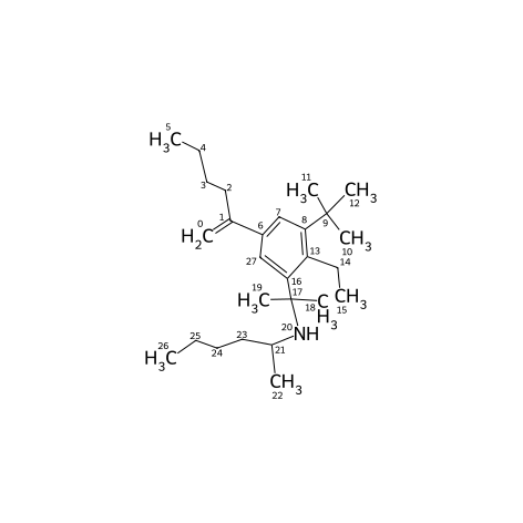 C=C(CCCC)c1cc(C(C)(C)C)c(CC)c(C(C)(C)NC(C)CCCC)c1